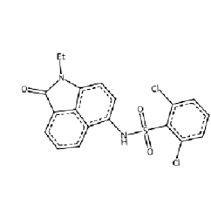 CCN1C(=O)c2cccc3c(NS(=O)(=O)c4c(Cl)cccc4Cl)ccc1c23